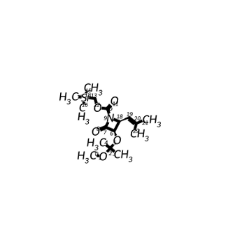 COC(C)(C)O[C@H]1C(=O)N(C(=O)OC[Si](C)(C)C)[C@H]1C=C(C)C